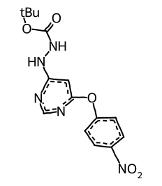 CC(C)(C)OC(=O)NNc1cc(Oc2ccc([N+](=O)[O-])cc2)ncn1